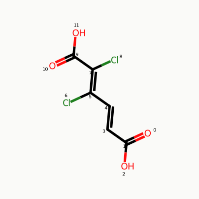 O=C(O)/C=C/C(Cl)=C(\Cl)C(=O)O